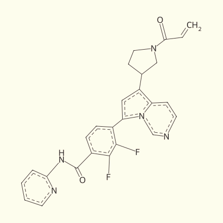 C=CC(=O)N1CCC(c2cc(-c3ccc(C(=O)Nc4ccccn4)c(F)c3F)n3cnccc23)C1